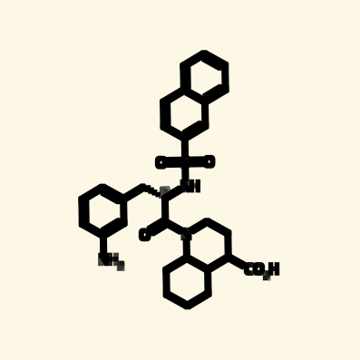 Nc1cccc(C[C@H](NS(=O)(=O)c2ccc3ccccc3c2)C(=O)N2CCC(C(=O)O)C3CCCCC32)c1